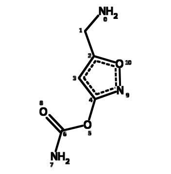 NCc1cc(OC(N)=O)no1